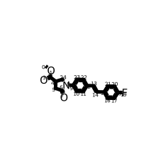 COC(=O)C1CC(=O)N(c2ccc(C=Cc3ccc(F)cc3)cc2)C1